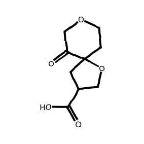 O=C(O)C1COC2(CCOCC2=O)C1